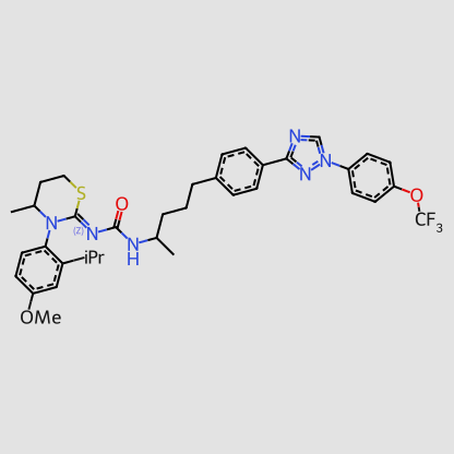 COc1ccc(N2/C(=N/C(=O)NC(C)CCCc3ccc(-c4ncn(-c5ccc(OC(F)(F)F)cc5)n4)cc3)SCCC2C)c(C(C)C)c1